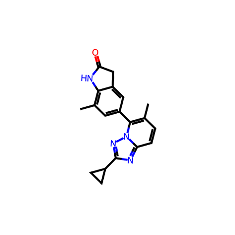 Cc1cc(-c2c(C)ccc3nc(C4CC4)nn23)cc2c1NC(=O)C2